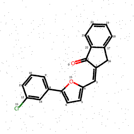 O=C1C(=Cc2ccc(-c3cccc(Cl)c3)o2)Cc2ccccc21